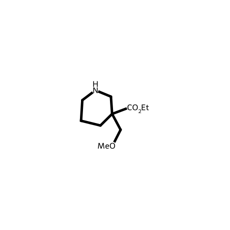 CCOC(=O)C1(COC)CCCNC1